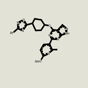 COc1ccc(-c2nc(OC3CCC(c4nc(C(C)C)no4)CC3)c3cn[nH]c3n2)c(C)n1